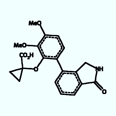 COc1ccc(-c2cccc3c2CNC3=O)c(OC2(C(=O)O)CC2)c1OC